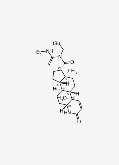 CCNC(=S)N(CC(C)(C)C)C(=O)[C@H]1CC[C@H]2[C@@H]3CC[C@H]4NC(=O)C=C[C@]4(C)[C@H]3CC[C@]12C